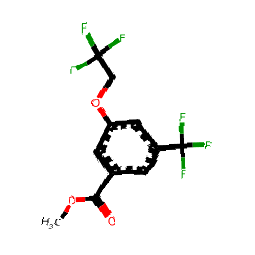 COC(=O)c1cc(OCC(F)(F)F)cc(C(F)(F)F)c1